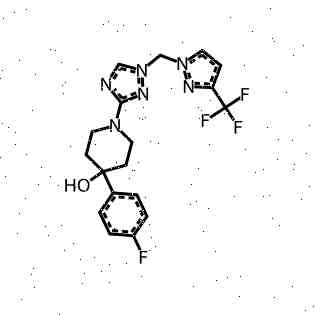 OC1(c2ccc(F)cc2)CCN(c2ncn(Cn3ccc(C(F)(F)F)n3)n2)CC1